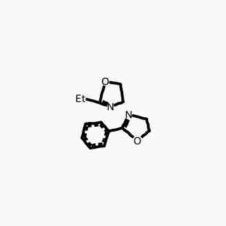 CCC1=NCCO1.c1ccc(C2=NCCO2)cc1